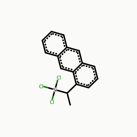 CC(c1cccc2cc3ccccc3cc12)[Si](Cl)(Cl)Cl